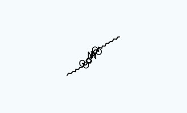 CCCCCCCCCCCCC(=O)Oc1cnc(-c2ccc(OC(=O)CCCCCCCCC)cc2)nc1